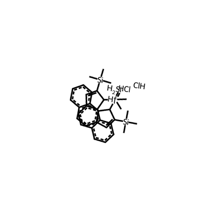 C[Si](C)(C)C1=Cc2ccc3ccccc3c2[CH]1[Hf]([CH3])([CH3])(=[SiH2])[CH]1C([Si](C)(C)C)=Cc2ccc3ccccc3c21.Cl.Cl